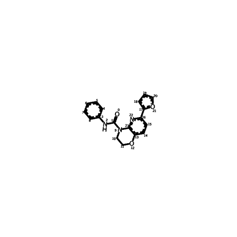 O=C(Nc1ccccc1)N1CCOc2ccc(-c3ccco3)nc21